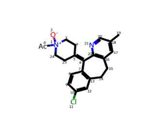 CC(=O)[N+]1([O-])CCC(=C2c3ccc(Cl)cc3CCc3cc(C)cnc32)CC1